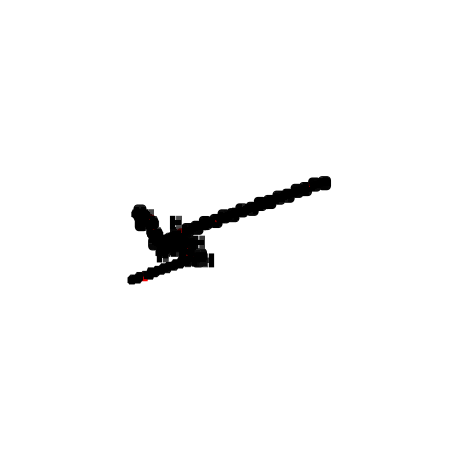 CCCCCCCCCCCCCCCCCCCC(=O)N[C@@H](CCC(=O)N[C@@H](CCC(=O)N[C@H](C(=O)N[C@@H](CCCCNC(=O)CCOCCOCCOCCOCCOCCOCCOCCOCCOCCOCCOCCOCCOCCOCCOCCOC)C(=O)N1CCN(c2ccc3ncn(CC(C)=O)c(=O)c3c2)CC1)[C@@H](C)CC)C(=O)O)C(=O)O